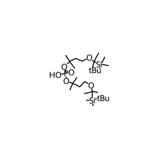 CC(C)(CCOC(C)(C)[Si](C)(C)C(C)(C)C)OP(=O)(O)OC(C)(C)CCOC(C)(C)[Si](C)(C)C(C)(C)C